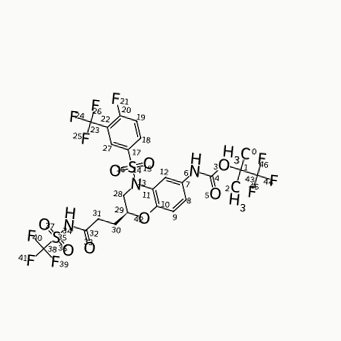 CC(C)(OC(=O)Nc1ccc2c(c1)N(S(=O)(=O)c1ccc(F)c(C(F)(F)F)c1)C[C@H](CCC(=O)NS(=O)(=O)C(F)(F)F)O2)C(F)(F)F